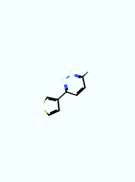 Clc1ccc(-c2ccsc2)nn1